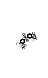 O=S(=O)([O-])c1cc(S(=O)(=O)c2ccc(Cl)c(S(=O)(=O)[O-])c2)ccc1Cl.[K+].[K+]